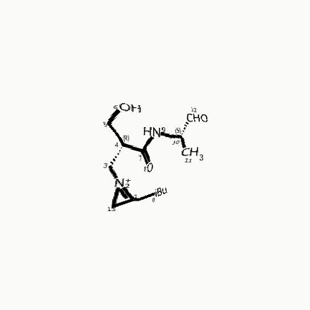 CCC(C)C1=[N+](C[C@H](CO)C(=O)N[C@@H](C)C=O)C1